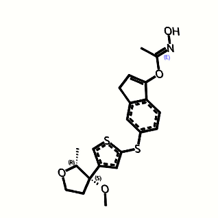 CO[C@]1(c2csc(Sc3ccc4c(c3)CC=C4O/C(C)=N/O)c2)CCO[C@@H]1C